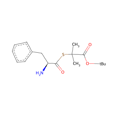 CC(C)(C)OC(=O)C(C)(C)SC(=O)[C@@H](N)Cc1ccccc1